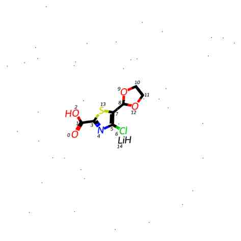 O=C(O)c1nc(Cl)c(C2OCCO2)s1.[LiH]